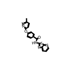 Cc1ccc(Oc2ccc(C(=O)Nc3nc4cccnc4s3)cc2)nn1